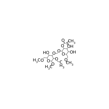 CCOC1C(OC)OC(COC)C(O)C1OCOC1OC(COC)C(O)C(O)C1OC(=O)SC